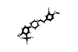 COc1ccc(CCN2CCN(c3ccc(Br)c(C(F)(F)F)c3)CC2)cc1F